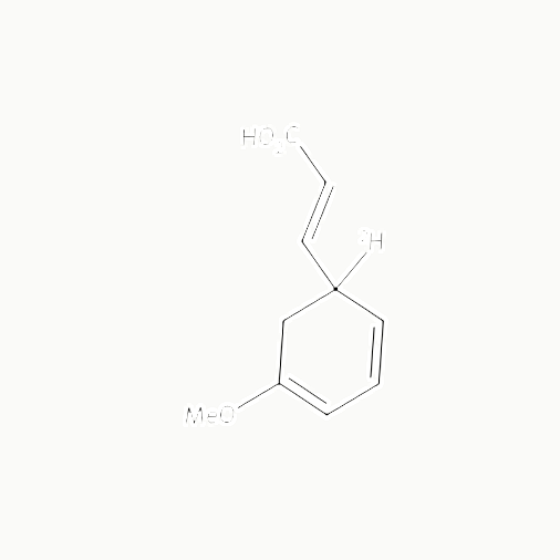 [2H]C1(C=CC(=O)O)C=CC=C(OC)C1